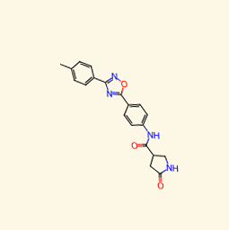 Cc1ccc(-c2noc(-c3ccc(NC(=O)C4CNC(=O)C4)cc3)n2)cc1